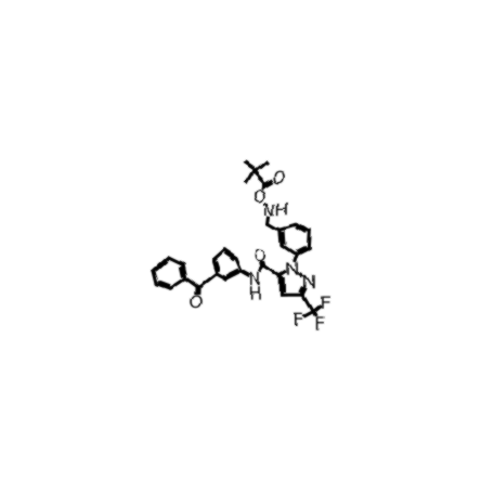 CC(C)(C)C(=O)ONCc1cccc(-n2nc(C(F)(F)F)cc2C(=O)Nc2cccc(C(=O)c3ccccc3)c2)c1